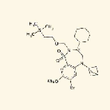 COc1cc2c(cc1Br)N(C13CC(C1)C3)C[C@@H](C1CCCCC1)N(COCC[Si](C)(C)C)S2(=O)=O